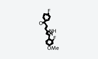 COc1ccc(-c2cc(/C=C/C(=O)c3ccc(F)cc3)[nH]n2)c(F)c1